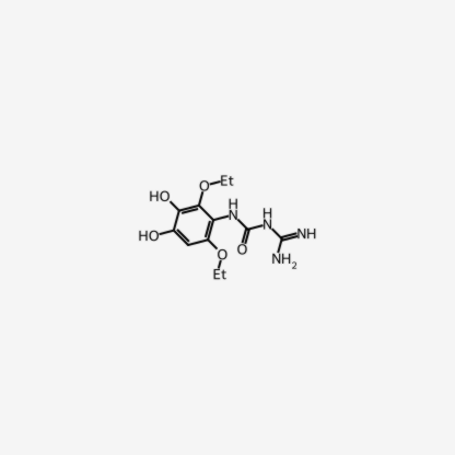 CCOc1cc(O)c(O)c(OCC)c1NC(=O)NC(=N)N